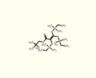 CC[Si](C)(C)OC(O[Si](C)(C)CC)=C(O[Si](C)(C)CC)C(=O)OCC(C)(C)C